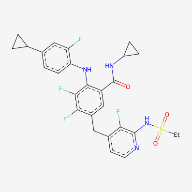 CCS(=O)(=O)Nc1nccc(Cc2cc(C(=O)NC3CC3)c(Nc3ccc(C4CC4)cc3F)c(F)c2F)c1F